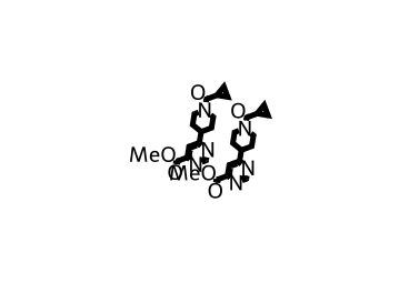 COC(=O)c1cc(C2CCN(C(=O)C3CC3)CC2)ncn1.COC(=O)c1cc(C2CCN(C(=O)C3CC3)CC2)ncn1